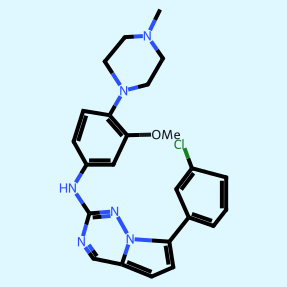 COc1cc(Nc2ncc3ccc(-c4cccc(Cl)c4)n3n2)ccc1N1CCN(C)CC1